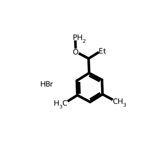 Br.CCC(OP)c1cc(C)cc(C)c1